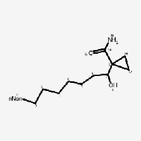 CCCCCCCCCCCCCCCC(O)C1(C(N)=O)CC1